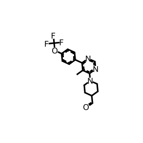 Cc1c(-c2ccc(OC(F)(F)F)cc2)ncnc1N1CCC(C=O)CC1